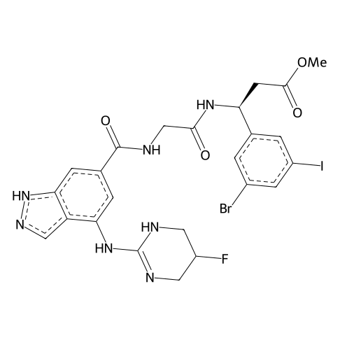 COC(=O)C[C@H](NC(=O)CNC(=O)c1cc(NC2=NCC(F)CN2)c2cn[nH]c2c1)c1cc(Br)cc(I)c1